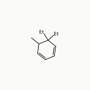 CCC1(CC)C=CC=CC1C